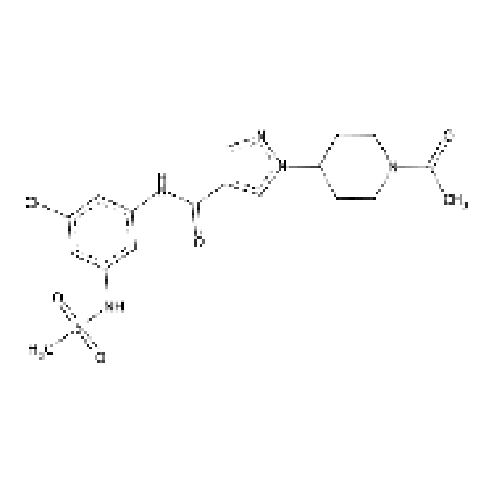 CC(=O)N1CCC(n2cc(C(=O)Nc3cc(Cl)cc(NS(C)(=O)=O)c3)cn2)CC1